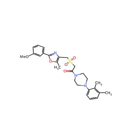 COc1cccc(-c2nc(CS(=O)(=O)CC(=O)N3CCN(c4cccc(C)c4C)CC3)c(C)o2)c1